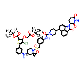 CC(C)(C)OC(=O)COc1c(C(=O)OC(C)(C)C)sc(-c2cccc(N[C@H]3CCN(S(=O)(=O)Cc4cccc(NC(=O)N5CCC(c6ccc7c8c(cccc68)C(=O)N7C6CCC(=O)NC6=O)CC5)c4)C4(CC4)C3)c2)c1Cl